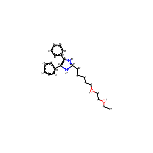 CCOCCOCCCCCC1=NC(c2ccccc2)=C(c2ccccc2)[N]1